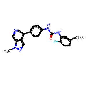 COc1ccc(F)c(NC(=O)Nc2ccc(-c3cncc4c3cnn4C)cc2)c1